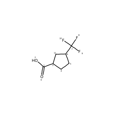 O=C(O)C1CCC(C(F)(F)F)C1